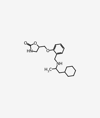 CC(CC1CCCCC1)NCc1ccccc1OCC1CNC(=O)O1